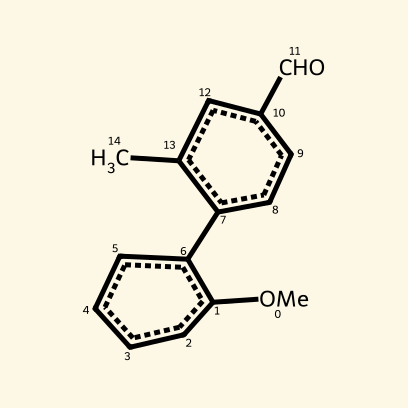 COc1ccccc1-c1ccc(C=O)cc1C